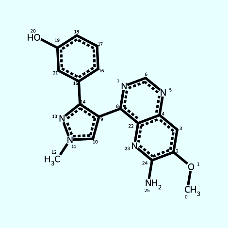 COc1cc2ncnc(-c3cn(C)nc3-c3cccc(O)c3)c2nc1N